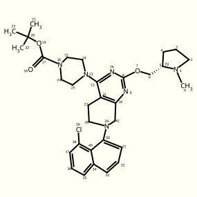 CN1CCC[C@H]1COc1nc2c(c(N3CCN(C(=O)OC(C)(C)C)CC3)n1)CCN(c1cccc3cccc(Cl)c13)C2